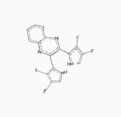 Fc1c[nH]c(-c2nc3ccccc3nc2-c2[nH]cc(F)c2F)c1F